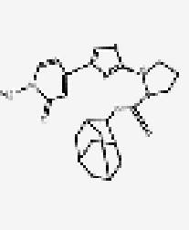 Cn1ccc(-c2csc([C@H]3CCCN3C(=O)OC3C4CC5CC(C4)CC3C5)n2)cc1=O